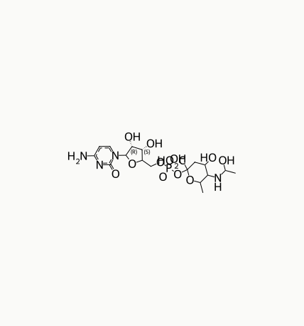 CC(O)NC1C(O)CC(OP(=O)(O)OCC2OC(n3ccc(N)nc3=O)[C@H](O)[C@@H]2O)(C(=O)O)OC1C